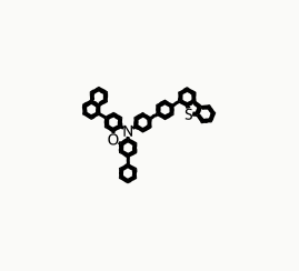 c1ccc(-c2ccc3c(c2)Oc2cc(-c4cccc5ccccc45)ccc2N3c2ccc(-c3ccc(-c4cccc5c4sc4ccccc45)cc3)cc2)cc1